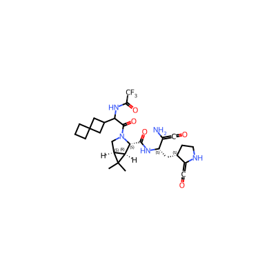 CC1(C)[C@@H]2[C@@H](C(=O)N[C@@H](C[C@@H]3CCNC3=C=O)C(N)=C=O)N(C(=O)C(NC(=O)C(F)(F)F)C3CC4(CCC4)C3)C[C@@H]21